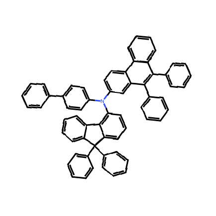 c1ccc(-c2ccc(N(c3ccc4c(c3)c(-c3ccccc3)c(-c3ccccc3)c3ccccc34)c3cccc4c3-c3ccccc3C4(c3ccccc3)c3ccccc3)cc2)cc1